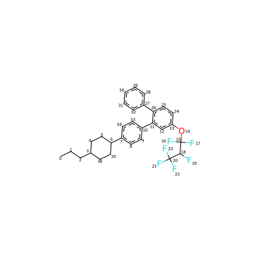 CCCC1CCC(c2ccc(-c3cc(OC(F)(F)C(F)C(F)(F)F)ccc3-c3ccccc3)cc2)CC1